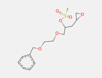 CS(=O)(=O)OC(COCCOCc1ccccc1)CC1CO1